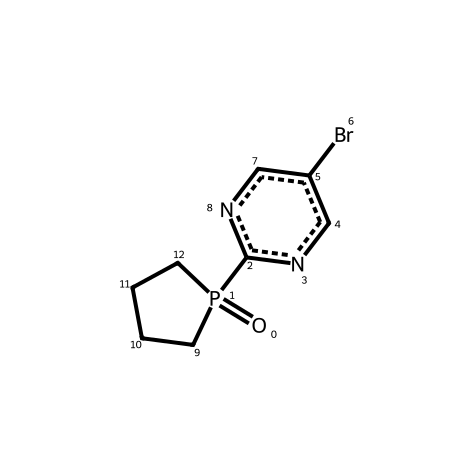 O=P1(c2ncc(Br)cn2)CCCC1